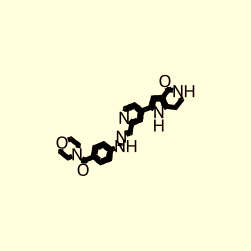 O=C1NCCc2[nH]c(-c3ccnc(C=NNc4ccc(C(=O)N5CCOCC5)cc4)c3)cc21